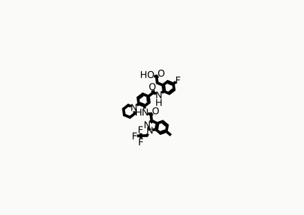 Cc1ccc2c(C(=O)Nc3cc(C(=O)Nc4ccc(F)cc4CC(=O)O)ccc3N3CCCCC3)nn(CC(F)(F)F)c2c1